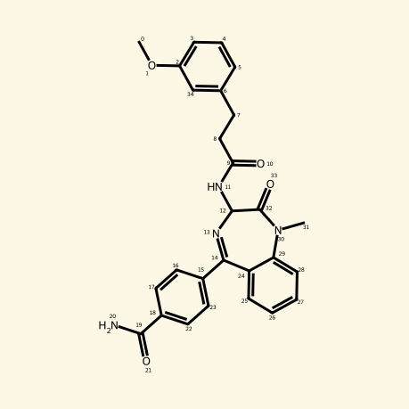 COc1cccc(CCC(=O)NC2N=C(c3ccc(C(N)=O)cc3)c3ccccc3N(C)C2=O)c1